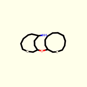 C1CCCCC2CCC(CCC1)NC1CCCCCCCC(CC1)O2